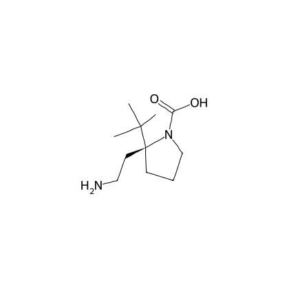 CC(C)(C)[C@@]1(CCN)CCCN1C(=O)O